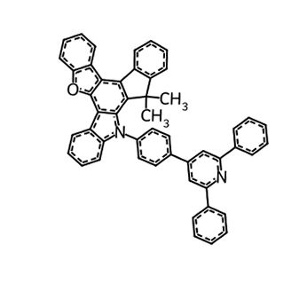 CC1(C)c2ccccc2-c2c1c1c(c3ccccc3n1-c1ccc(-c3cc(-c4ccccc4)nc(-c4ccccc4)c3)cc1)c1oc3ccccc3c21